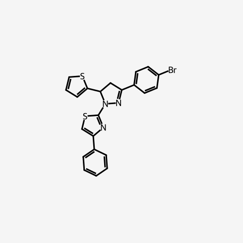 Brc1ccc(C2=NN(c3nc(-c4ccccc4)cs3)C(c3cccs3)C2)cc1